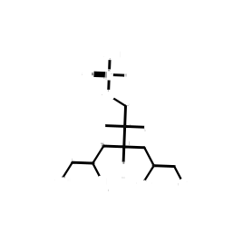 CC(C)(COP(=O)(O)O)C(Cl)(CC(Cl)CCl)CC(Cl)CCl